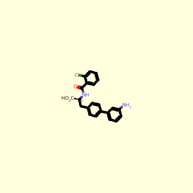 Nc1cccc(-c2ccc(C[C@H](NC(=O)c3ccccc3Cl)C(=O)O)cc2)c1